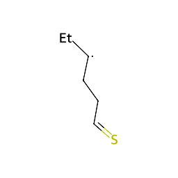 CC[CH]CCC=S